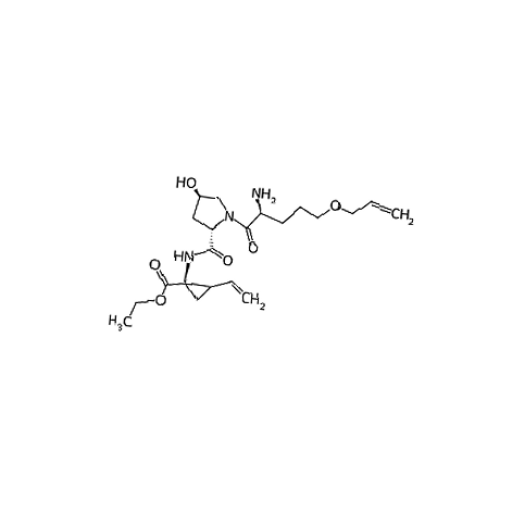 C=CCOCCC[C@H](N)C(=O)N1C[C@H](O)C[C@H]1C(=O)N[C@]1(C(=O)OCC)CC1C=C